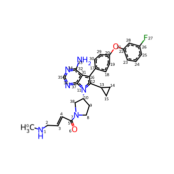 CNC/C=C/C(=O)N1CC[C@@H](n2c(C3CC3)c(-c3ccc(Oc4cccc(F)c4)cc3)c3c(N)ncnc32)C1